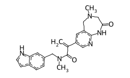 C=C(C(=O)N(C)Cc1ccc2cc[nH]c2c1)c1cnc2c(c1)CN(C)CC(=O)N2